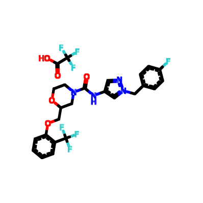 O=C(Nc1cnn(Cc2ccc(F)cc2)c1)N1CCOC(COc2ccccc2C(F)(F)F)C1.O=C(O)C(F)(F)F